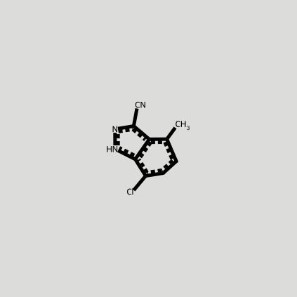 Cc1ccc(Cl)c2[nH]nc(C#N)c12